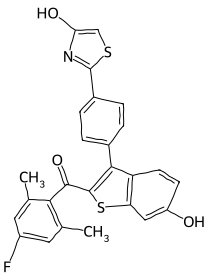 Cc1cc(F)cc(C)c1C(=O)c1sc2cc(O)ccc2c1-c1ccc(-c2nc(O)cs2)cc1